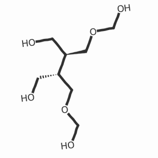 OCOC[C@H](CO)[C@@H](CO)COCO